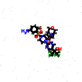 NC1=CCC(=S)C(S(=O)(=O)N2CCN(c3ncc(C(O)(C(F)(F)F)C(F)(F)F)cn3)[C@@H](CN3C4COCC3CC(=O)C4)C2)=C1